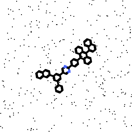 c1ccc(-c2cc(-c3cnc(-c4ccc(-c5c6ccccc6c(-c6cccc7ccccc67)c6ccccc56)cc4)nc3)cc(-c3ccc4ccccc4c3)c2)cc1